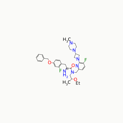 CCOC(C)CN(Cc1ccc(F)c(N2CC(N3CCN(C)CC3)C2)n1)C(=O)[C@@H](N)Cc1ccc(OCc2ccccc2)cc1F